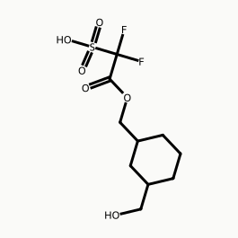 O=C(OCC1CCCC(CO)C1)C(F)(F)S(=O)(=O)O